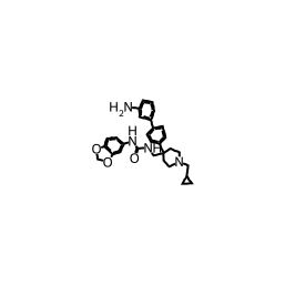 Nc1cccc(-c2ccc(C3(CNC(=O)Nc4ccc5c(c4)OCO5)CCN(CC4CC4)CC3)cc2)c1